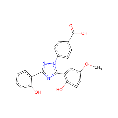 COc1ccc(O)c(-c2nc(-c3ccccc3O)nn2-c2ccc(C(=O)O)cc2)c1